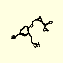 COC(=O)C1CC1COc1ccc(Br)cc1CCO